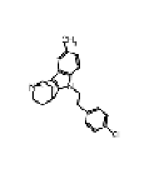 Cc1ccc2c(c1)c1c(n2CCc2ccc(Cl)cc2)C2CCN(CC2)C1